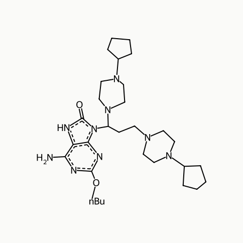 CCCCOc1nc(N)c2[nH]c(=O)n(C(CCN3CCN(C4CCCC4)CC3)N3CCN(C4CCCC4)CC3)c2n1